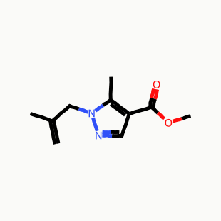 C=C(C)Cn1ncc(C(=O)OC)c1C